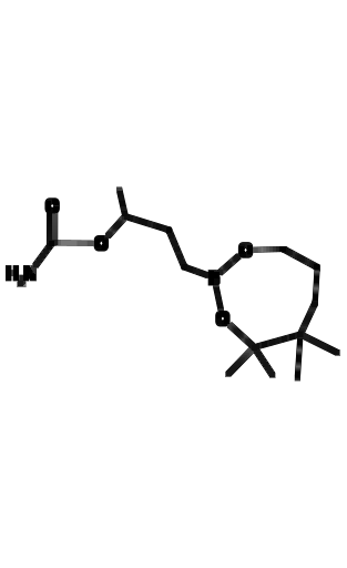 CC(CCB1OCCCC(C)(C)C(C)(C)O1)OC(N)=O